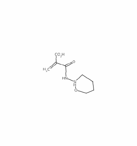 C=C(C(=O)O)C(=O)N[SiH]1CCCCO1